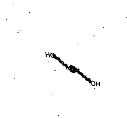 OCCCCCCCCc1cc[n+](CCCCCCCCO)cc1